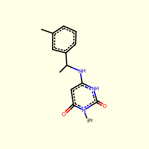 Cc1cccc(C(C)Nc2cc(=O)n(C(C)C)c(=O)[nH]2)c1